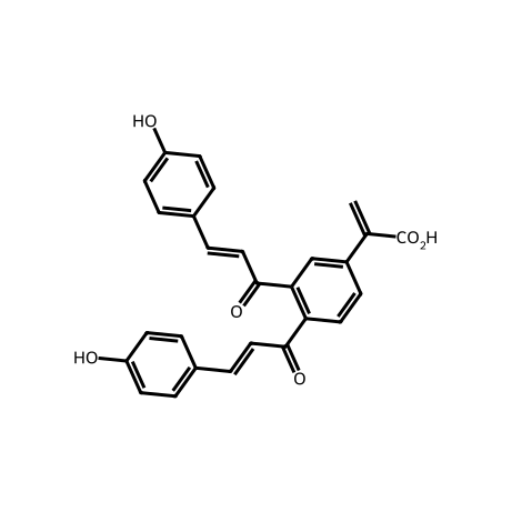 C=C(C(=O)O)c1ccc(C(=O)/C=C/c2ccc(O)cc2)c(C(=O)/C=C/c2ccc(O)cc2)c1